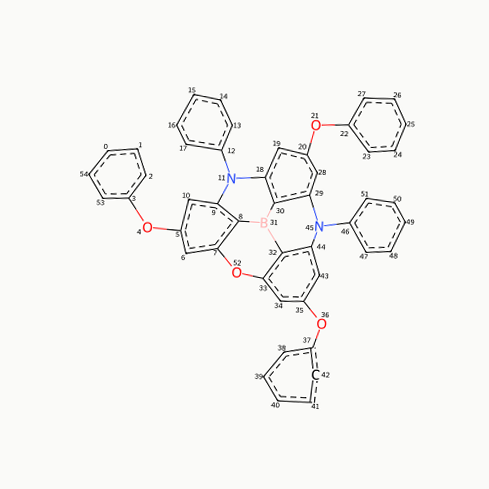 c1ccc(Oc2cc3c4c(c2)N(c2ccccc2)c2cc(Oc5ccccc5)cc5c2B4c2c(cc(Oc4ccccc4)cc2N5c2ccccc2)O3)cc1